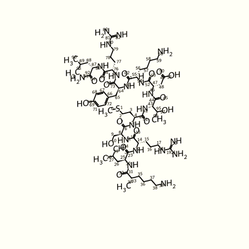 CSCC[C@H](NC(=O)[C@H](CO)NC(=O)[C@H](CCCNC(=N)N)NC(=O)[C@H](CC(C)C)NC(=O)[C@@H](C)CCCCN)C(=O)N[C@H](C(=O)N[C@@H](CC(=O)O)C(=O)N[C@@H](CCCCN)C(=O)N[C@@H](Cc1ccc(O)cc1)C(=O)N[C@@H](CCCNC(=N)N)C(=O)N[C@@H](CC(C)C)C(N)=O)[C@H](C)O